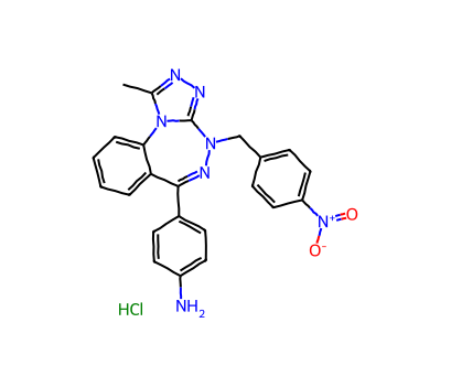 Cc1nnc2n1-c1ccccc1C(c1ccc(N)cc1)=NN2Cc1ccc([N+](=O)[O-])cc1.Cl